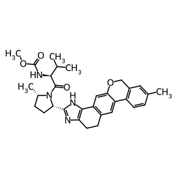 COC(=O)N[C@H](C(=O)N1[C@@H](C)CC[C@H]1c1nc2c([nH]1)-c1cc3c(cc1CC2)-c1ccc(C)cc1CO3)C(C)C